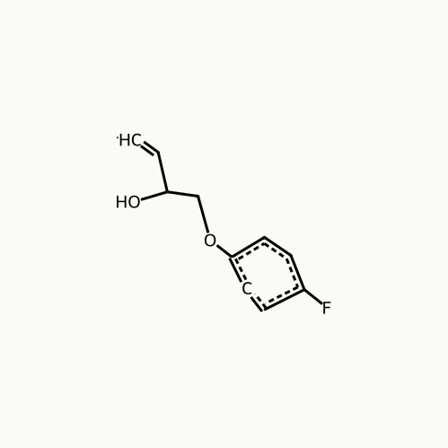 [CH]=CC(O)COc1ccc(F)cc1